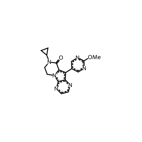 COc1ncc(-c2c3n(c4nccnc24)CCN(C2CC2)C3=O)cn1